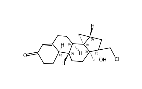 C[C@]12CC[C@H]3[C@@H](CCC4=CC(=O)CC[C@@H]43)[C@]13C[C@@H]3C[C@@]2(O)CCl